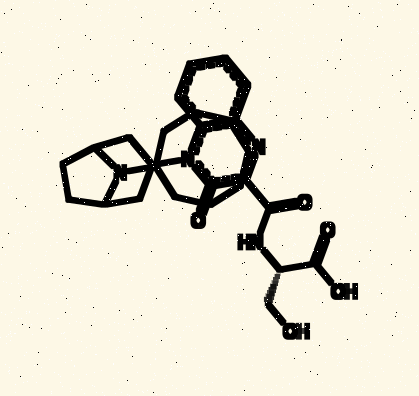 O=C(N[C@@H](CO)C(=O)O)c1nc2ccccc2n(C2CC3CCC(C2)N3C2CCCCCCC2)c1=O